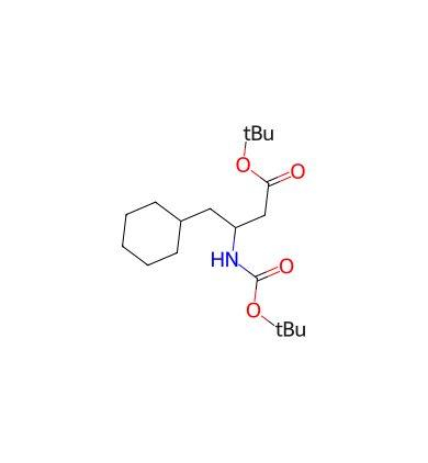 CC(C)(C)OC(=O)CC(CC1CCCCC1)NC(=O)OC(C)(C)C